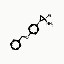 CC[C@@]1(N)C[C@@H]1c1ccc(OCc2ccccc2)cc1